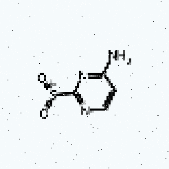 Nc1ccnc([SH](=O)=O)n1